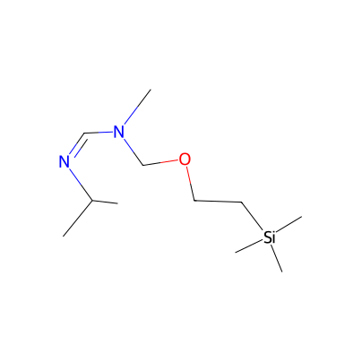 CC(C)/N=C\N(C)COCC[Si](C)(C)C